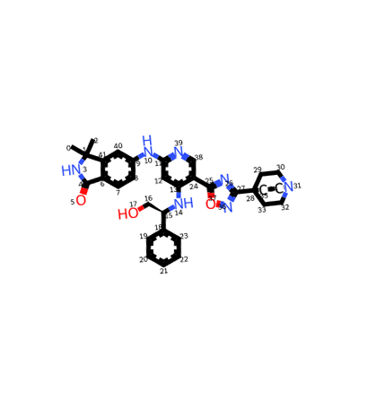 CC1(C)NC(=O)c2ccc(Nc3cc(N[C@H](CO)c4ccccc4)c(-c4nc(C56CCN(CC5)CC6)no4)cn3)cc21